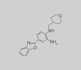 Nc1cc(-c2nc3ccccc3o2)ccc1NCC1CCOCC1